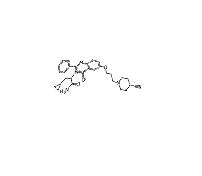 N#CC1CCN(CCCOc2ccc3nc(-c4ccccc4)n(C(CC4CC4)C(N)=O)c(=O)c3c2)CC1